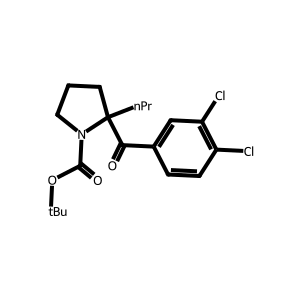 CCCC1(C(=O)c2ccc(Cl)c(Cl)c2)CCCN1C(=O)OC(C)(C)C